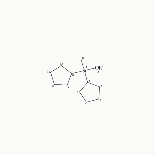 C[Si](O)(C1CCCC1)C1CCCC1